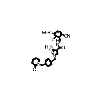 COc1ccc(C#N)c(CNC(=O)c2cn(Cc3ccc(Cn4ccccc4=O)cc3)nc2N)c1F